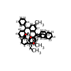 CCN(CC)c1cccc2cn(-c3c(C(c4ccccc4)c4ccccc4)cc(C)cc3C(c3ccccc3)c3ccccc3)[c](=[Pd]([Cl])[CH2]C=Cc3ccccc3)n12